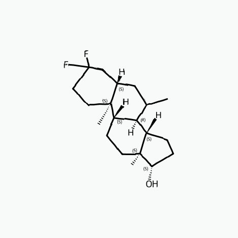 CC1C[C@H]2CC(F)(F)CC[C@]2(C)[C@H]2CC[C@]3(C)[C@@H](O)CC[C@H]3[C@H]12